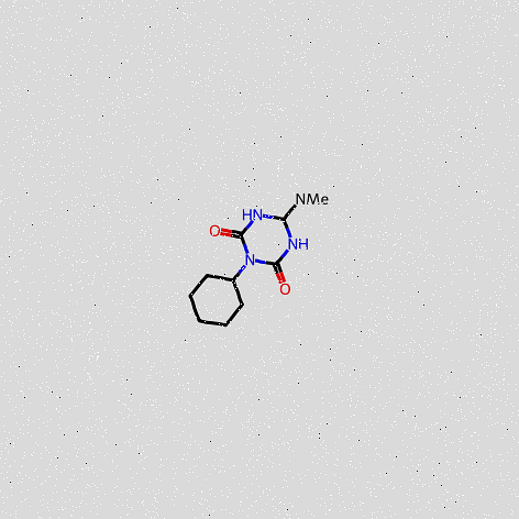 CNC1NC(=O)N(C2CCCCC2)C(=O)N1